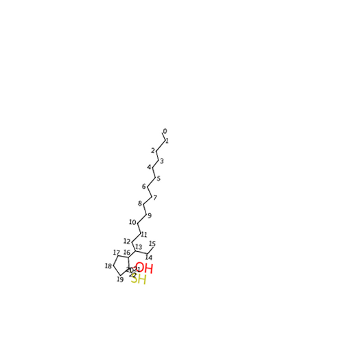 CCCCCCCCCCCCCC(CC)C1CCCC1(O)S